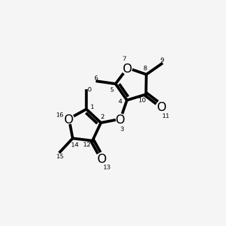 CC1=C(OC2=C(C)OC(C)C2=O)C(=O)C(C)O1